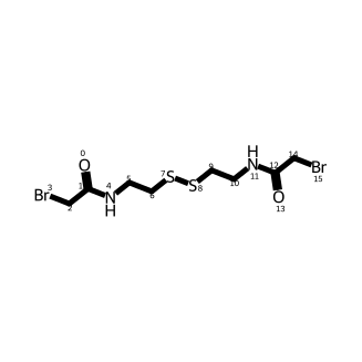 O=C(CBr)NCCSSCCNC(=O)CBr